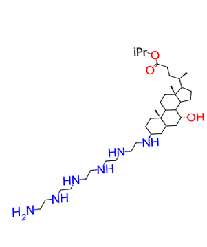 CC(C)OC(=O)CC[C@@H](C)C1CCC2C3C(CC[C@@]21C)[C@@]1(C)CC[C@H](NCCNCCNCCNCCNCCN)CC1C[C@H]3O